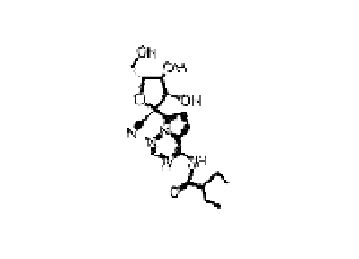 CCC(CC)C(=O)Nc1ncnn2c([C@]3(C#N)O[C@H](CO)[C@@H](O)[C@H]3O)ccc12